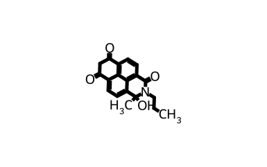 CCCN1C(=O)c2ccc3c4c(ccc(c24)C1(C)O)C(=O)CC3=O